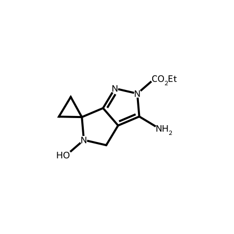 CCOC(=O)n1nc2c(c1N)CN(O)C21CC1